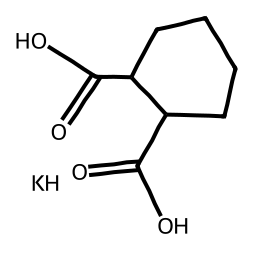 O=C(O)C1CCCCC1C(=O)O.[KH]